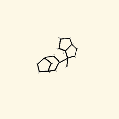 CC1(C2CC3CCC(C3)C2)CCC2CCCC21